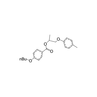 CCCCOc1ccc(C(=O)OC(C)COc2ccc(C)cc2)cc1